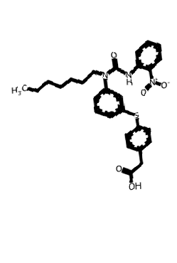 CCCCCCCN(C(=O)Nc1ccccc1[N+](=O)[O-])c1cccc(Sc2ccc(CC(=O)O)cc2)c1